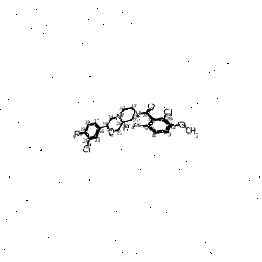 COc1ccc(F)c(C(=O)N2CCN3C[C@H](c4ccc(F)c(Cl)c4)OC[C@@H]3C2)c1Cl